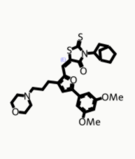 COc1cc(OC)cc(-c2cc(CCCN3CCOCC3)c(/C=C3/SC(=S)N(C4CC5CCC4C5)C3=O)o2)c1